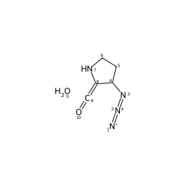 O.[N-]=[N+]=NC1CCNC1=C=O